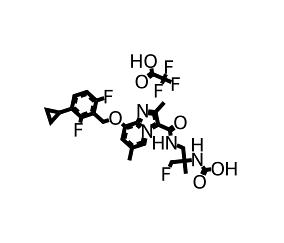 Cc1cc(OCc2c(F)ccc(C3CC3)c2F)c2nc(C)c(C(=O)NCC(C)(CF)NC(=O)O)n2c1.O=C(O)C(F)(F)F